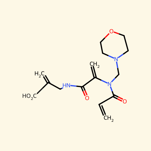 C=CC(=O)N(CN1CCOCC1)C(=C)C(=O)NCC(=C)C(=O)O